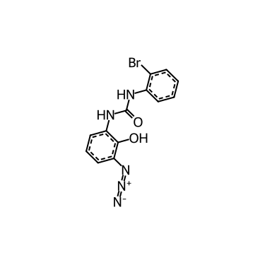 [N-]=[N+]=Nc1cccc(NC(=O)Nc2ccccc2Br)c1O